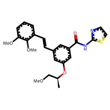 COC[C@H](C)Oc1cc(C=Cc2cccc(OC)c2OC)cc(C(=O)Nc2nccs2)c1